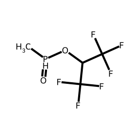 C[PH](=O)OC(C(F)(F)F)C(F)(F)F